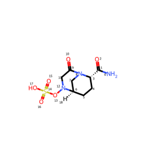 NC(=O)[C@@H]1CC[C@@H]2CN1C(=O)CN2OS(=O)(=O)O